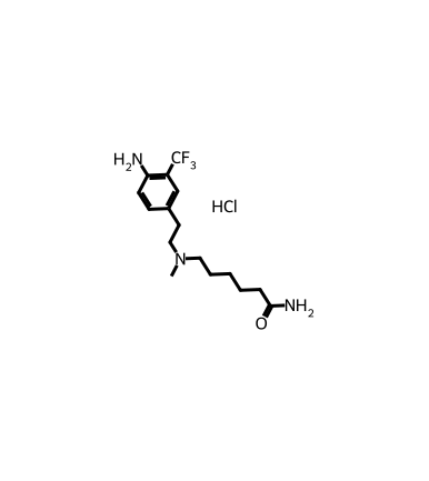 CN(CCCCCC(N)=O)CCc1ccc(N)c(C(F)(F)F)c1.Cl